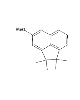 COc1cc2c3c(cccc3c1)C(C)(C)C2(C)C